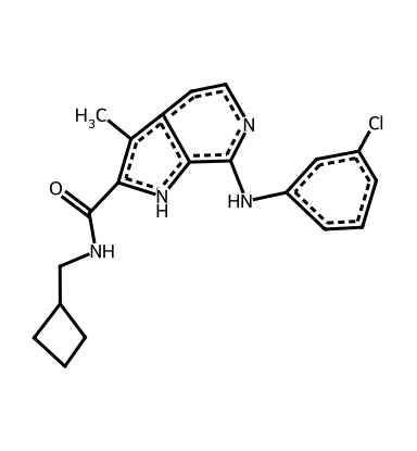 Cc1c(C(=O)NCC2CCC2)[nH]c2c(Nc3cccc(Cl)c3)nccc12